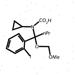 CCCC(OCOC)(c1ccccc1I)N(C(=O)O)C1CC1